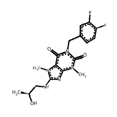 C[C@H](O)CNc1nc2c(c(=O)n(Cc3ccc(F)c(F)c3)c(=O)n2C)n1C